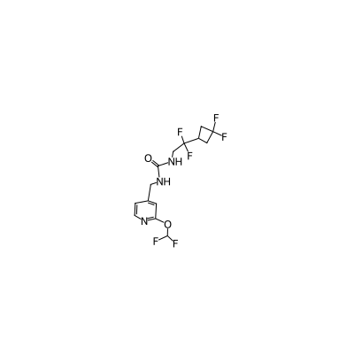 O=C(NCc1ccnc(OC(F)F)c1)NCC(F)(F)C1CC(F)(F)C1